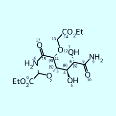 CCOC(=O)CO[C@@H]([C@H](O)[C@H](O)C(N)=O)[C@@H](OCC(=O)OCC)C(N)=O